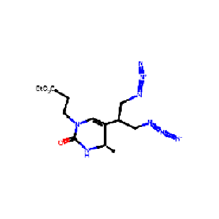 CCOC(=O)CCN1C=C(C(CN=[N+]=[N-])CN=[N+]=[N-])[C@@H](C)NC1=O